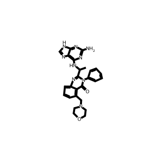 CC(Nc1nc(N)nc2[nH]cnc12)c1nc2cccc(CN3CCOCC3)c2c(=O)n1-c1ccccc1